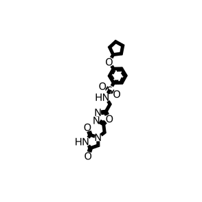 O=C1CN(Cc2nnc(CNS(=O)(=O)c3cccc(OC4CCCC4)c3)o2)C(=O)N1